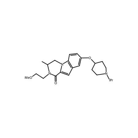 COCCN1C(=O)c2cc3cc(OC4CCN(C(C)C)CC4)ccc3n2CC1C